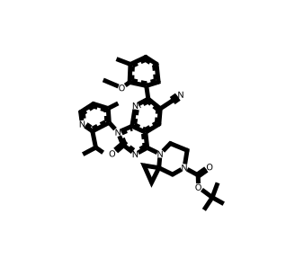 COc1c(C)cccc1-c1nc2c(cc1C#N)c(N1CCN(C(=O)OC(C)(C)C)CC13CC3)nc(=O)n2-c1c(C)ccnc1C(C)C